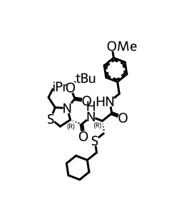 COc1ccc(CNC(=O)[C@H](CSCC2CCCCC2)NC(=O)[C@@H]2CSC(CC(C)C)N2C(=O)OC(C)(C)C)cc1